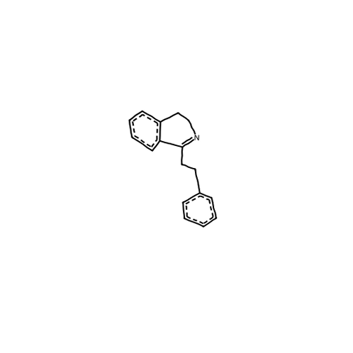 c1ccc(CCC2=NCCc3ccccc32)cc1